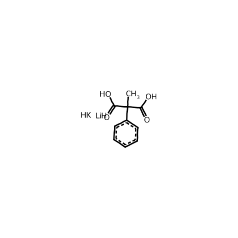 CC(C(=O)O)(C(=O)O)c1ccccc1.[KH].[LiH]